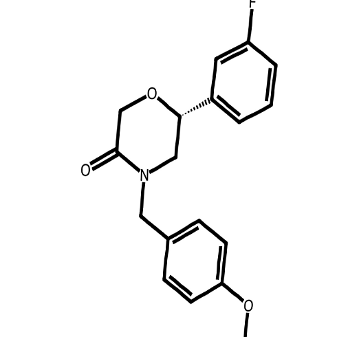 COc1ccc(CN2C[C@@H](c3cccc(F)c3)OCC2=O)cc1